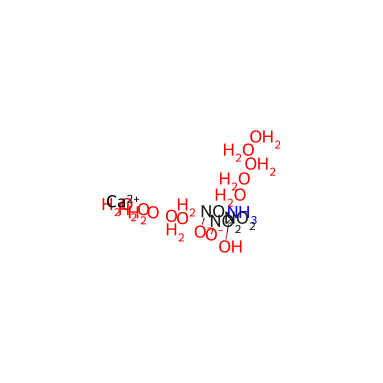 N.O.O.O.O.O.O.O.O.O.O.O=[N+]([O-])O.O=[N+]([O-])[O-].O=[N+]([O-])[O-].[Ca+2]